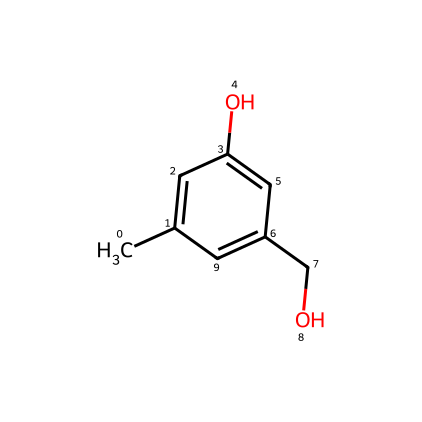 Cc1cc(O)cc(CO)c1